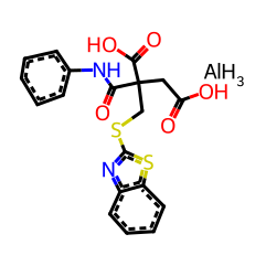 O=C(O)CC(CSc1nc2ccccc2s1)(C(=O)O)C(=O)Nc1ccccc1.[AlH3]